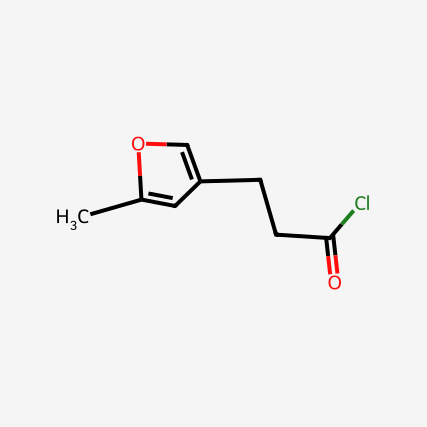 Cc1cc(CCC(=O)Cl)co1